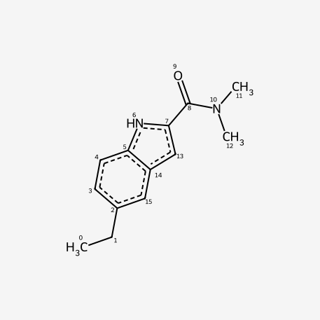 CCc1ccc2[nH]c(C(=O)N(C)C)cc2c1